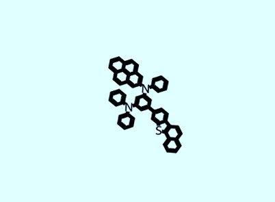 c1ccc(N(c2ccccc2)c2cc(-c3ccc4c(c3)sc3c5ccccc5ccc43)cc(N(c3ccccc3)c3cc4ccc5cccc6ccc(c3)c4c56)c2)cc1